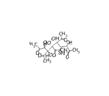 CC(=O)C(=O)[C@@](O)(C(C)=O)[C@](O)(C(C)=O)[C@@](O)(C(C)=O)[C@@H](S)C(O)C(C)=O